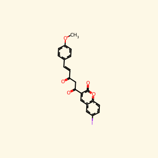 COc1ccc(/C=C/C(=O)CC(=O)c2cc3cc(I)ccc3oc2=O)cc1